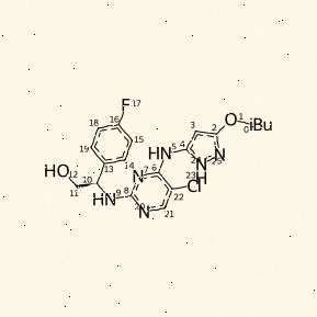 CCC(C)Oc1cc(Nc2nc(N[C@@H](CO)c3ccc(F)cc3)ncc2Cl)[nH]n1